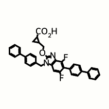 O=C(O)C1CC1COc1nc2c(F)c(-c3ccc(-c4ccccc4)cc3)c(F)cc2n1Cc1ccc(-c2ccccc2)cc1